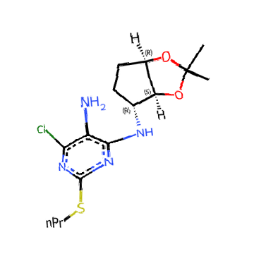 CCCSc1nc(Cl)c(N)c(N[C@@H]2CC[C@H]3OC(C)(C)O[C@@H]23)n1